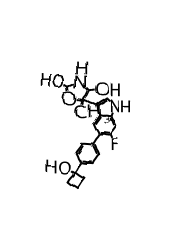 CC1(c2c[nH]c3cc(F)c(-c4ccc(C5(O)CCC5)cc4)cc23)OC(O)NC1O